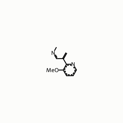 C=C(/C=N\C)c1ncccc1OC